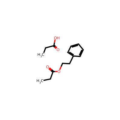 CCC(=O)O.CCC(=O)OCCc1ccccc1